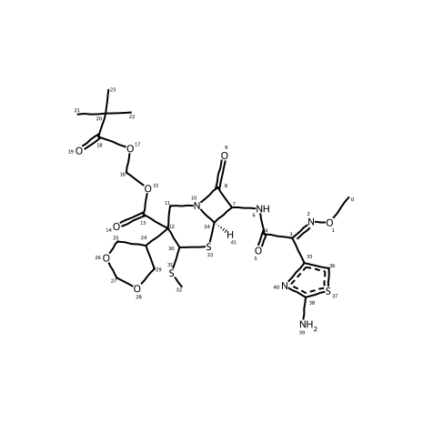 CON=C(C(=O)NC1C(=O)N2CC(C(=O)OCOC(=O)C(C)(C)C)(C3COCOC3)C(SC)S[C@H]12)c1csc(N)n1